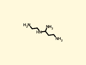 NCCNC(N)CCN